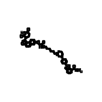 NC(=O)c1cccc2cn(-c3ccc([C@@H]4CCCN(CCCCCCNC(=O)COc5ccc6c(ccc7occ(C8CCC(=O)NC8=O)c76)c5)C4)cc3)nc12